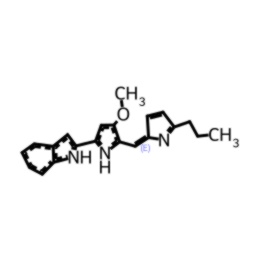 CCCC1=N/C(=C/c2[nH]c(-c3cc4ccccc4[nH]3)cc2OC)C=C1